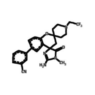 CN1C(=O)C2(CC3(CCN(CC(F)(F)F)CC3)Oc3ccc(-c4cccc(C#N)c4)cc32)N=C1N